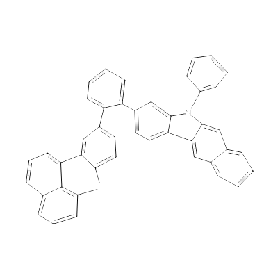 c1ccc(-n2c3cc(-c4ccccc4-c4ccc5c(c4)-c4cccc6cccc(c46)S5)ccc3c3cc4ccccc4cc32)cc1